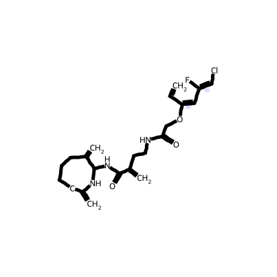 C=C/C(=C\C(F)=C\Cl)OCC(=O)NCCC(=C)C(=O)NC1NC(=C)CCCCC1=C